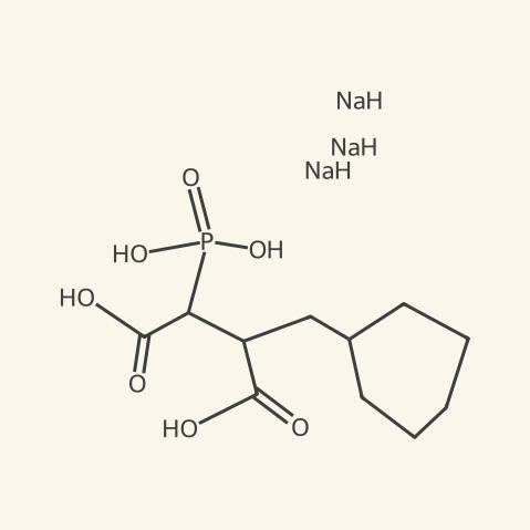 O=C(O)C(CC1CCCCC1)C(C(=O)O)P(=O)(O)O.[NaH].[NaH].[NaH]